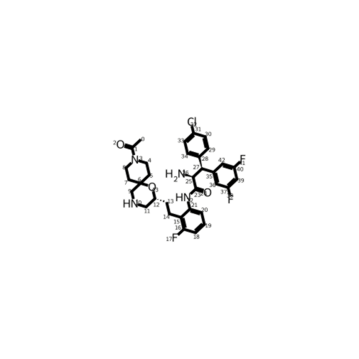 CC(=O)N1CCC2(CC1)CNC[C@@H](CCc1c(F)cccc1NC(=O)[C@@H](N)[C@@H](c1ccc(Cl)cc1)c1cc(F)cc(F)c1)O2